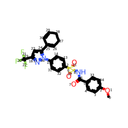 COc1ccc(C(=O)NS(=O)(=O)c2ccc(-n3nc(C(F)(F)F)cc3C3=CCCC=C3)cc2)cc1